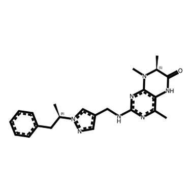 Cc1nc(NCc2cnn([C@H](C)Cc3ccccc3)c2)nc2c1NC(=O)[C@H](C)N2C